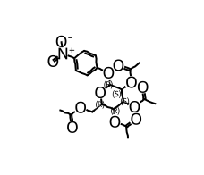 CC(=O)OC[C@H]1O[C@H](Oc2ccc([N+](=O)[O-])cc2)[C@@H](OC(C)=O)[C@@H](OC(C)=O)[C@@H]1OC(C)=O